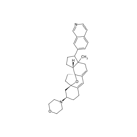 CC12CC=C3C=C4CC[C@@H](N5CCOCC5)C[C@]45CC[C@]3(O5)[C@@H]1CCC2c1ccc2ccncc2c1